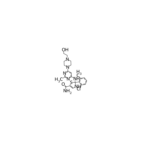 Cc1nc(NC2(c3c(C)cccc3Cl)NC=C(C(N)=O)S2)cc(N2CCN(CCO)CC2)n1